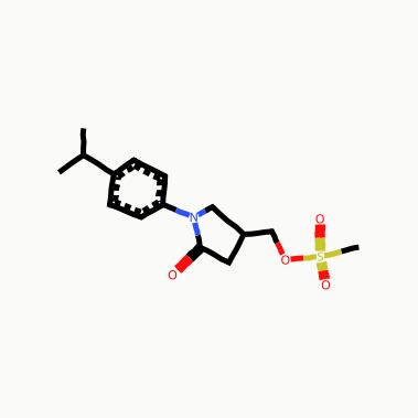 CC(C)c1ccc(N2CC(COS(C)(=O)=O)CC2=O)cc1